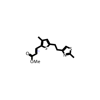 COC(=O)/C=C/c1sc(CCc2csc(C)n2)cc1C